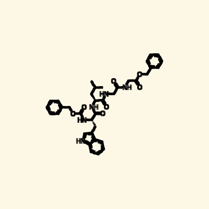 CC(C)C[C@H](NC(=O)[C@H](Cc1c[nH]c2ccccc12)NC(=O)OCc1ccccc1)C(=O)NCC(=O)NCC(=O)OCc1ccccc1